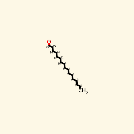 C=C/C=C/CCCCCCCCCCCCC=O